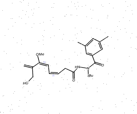 C=C(CO)/C(=C\C=C/CC(=O)NN(C(=O)c1cc(C)cc(C)c1)C(C)(C)C)OC